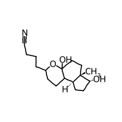 C[C@]12CCC3(O)OC(CCCC#N)CCC3[C@@H]1CC[C@H]2O